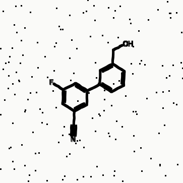 N#Cc1cc(F)cc(-c2cccc(CO)c2)c1